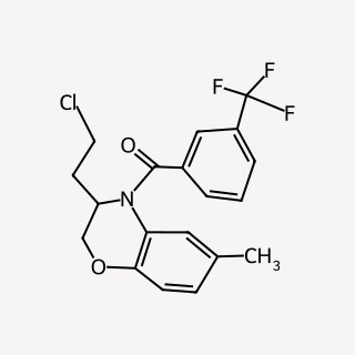 Cc1ccc2c(c1)N(C(=O)c1cccc(C(F)(F)F)c1)C(CCCl)CO2